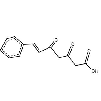 O=C(O)CC(=O)CC(=O)C=Cc1ccccc1